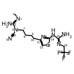 CN=C(N)N(C#N)CCCCc1csc(NC(N)=NCC(F)(F)F)n1